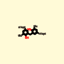 CCCCCCCc1cc(Cc2cc(CCCCCCC)cc(C(C)(C)C)c2O)c(O)c(C(C)(C)C)c1